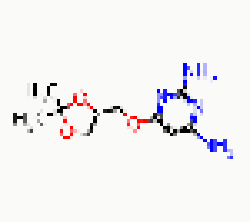 CC1(C)OC[C@H](COc2cc(N)nc(N)n2)O1